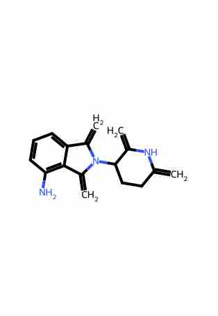 C=C1CCC(n2c(=C)c3cccc(N)c3c2=C)C(=C)N1